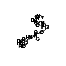 O=C1COc2c(CCNCCN(C(=O)CCOCCc3cccc(CN4CCC5(CC4)CN(C(=O)c4ccn(CC6CC6)n4)CCO5)c3F)C3CCCC3)ccc(O)c2N1